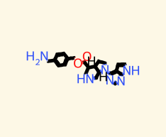 NCc1ccc(COC(=O)C2CNC[C@H]3[C@@H]2CCN3c2ncnc3[nH]ccc23)cc1